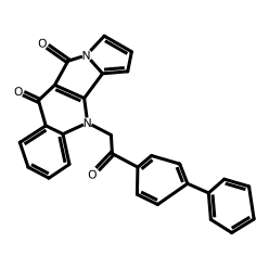 O=C(Cn1c2c(c(=O)c3ccccc31)C(=O)n1cccc1-2)c1ccc(-c2ccccc2)cc1